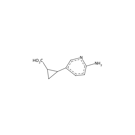 Nc1ccc(C2CC2C(=O)O)cn1